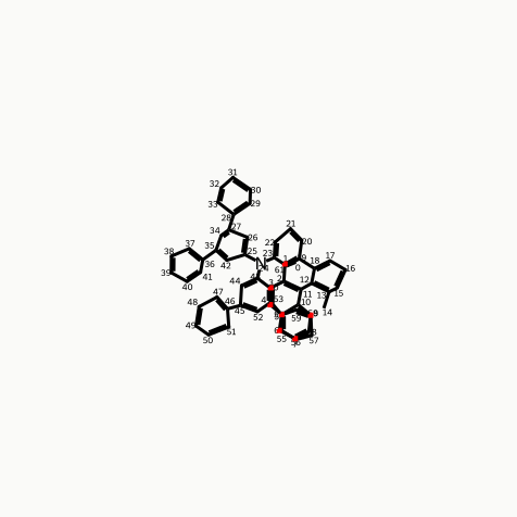 C=Cc1ccc2ccccc2c1-c1c(C)cccc1-c1cccc(N(c2cc(-c3ccccc3)cc(-c3ccccc3)c2)c2cc(-c3ccccc3)cc(-c3ccccc3)c2)c1